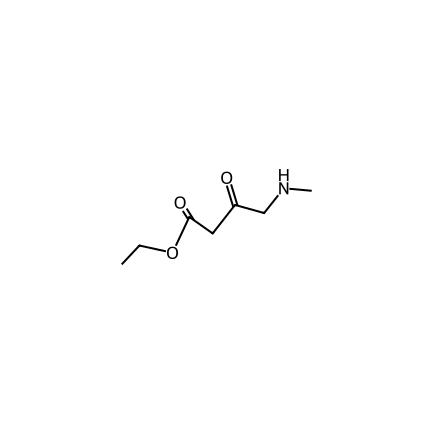 CCOC(=O)CC(=O)CNC